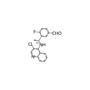 C[C@H](Nc1c(Cl)cnc2ccccc12)c1cc(C=O)ccc1F